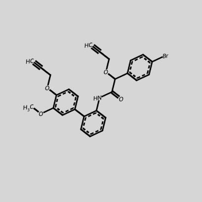 C#CCOc1ccc(-c2ccccc2NC(=O)C(OCC#C)c2ccc(Br)cc2)cc1OC